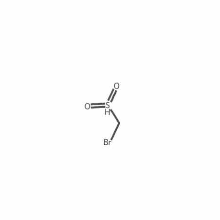 O=[SH](=O)CBr